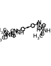 COC[C@H](NC(=O)OC)C(=O)N1CCC[C@H]1c1ncc(-c2ccc(C#Cc3ccc(-c4cnc([C@@H]5CCCN5C(=O)[C@@H](N)COC)[nH]4)cc3)cc2)[nH]1